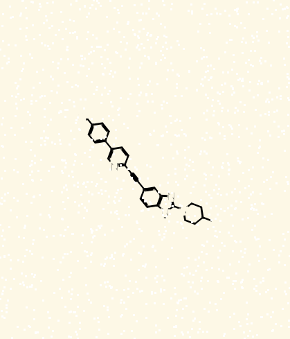 CCn1c(N2CCC(C)CC2)nc2cc(C#Cc3ccc(-c4ccc(Cl)cc4)cn3)ccc21